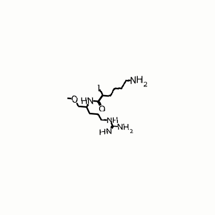 COCC(CCCNC(=N)N)NC(=O)C(I)CCCCN